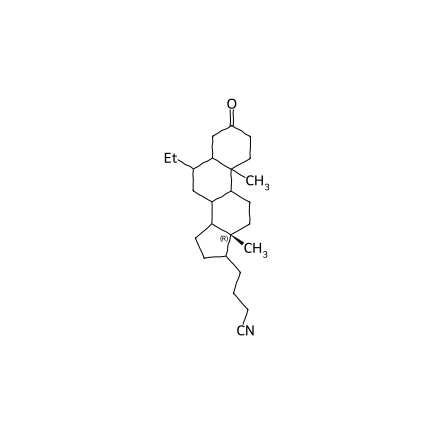 CCC1CC2C(CC[C@]3(C)C(CCCC#N)CCC23)C2(C)CCC(=O)CC12